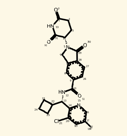 O=C1CC[C@H](N2Cc3cc(C(=O)N[C@H](c4ncc(F)cc4Cl)C4CCC4)ccc3C2=O)C(=O)N1